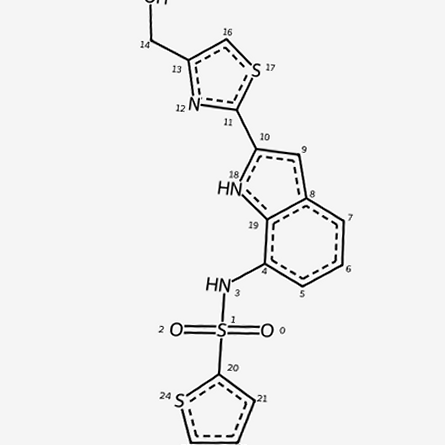 O=S(=O)(Nc1cccc2cc(-c3nc(CO)cs3)[nH]c12)c1cccs1